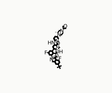 C[C@@H]1CN(C2COC2)CCN1c1ccc(Nc2cc(-c3cc(F)cc(-n4ncc5cc(C(C)(C)C)cc(F)c5c4=O)c3CO)cn(C)c2=O)nc1